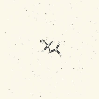 NS(=O)(=O)N=S(=O)=O